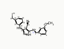 COc1cccc(/C=N/c2[nH]nc(Nc3cccc(CI)c3)c2C#N)c1